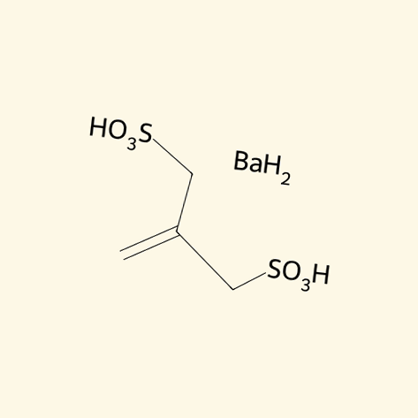 C=C(CS(=O)(=O)O)CS(=O)(=O)O.[BaH2]